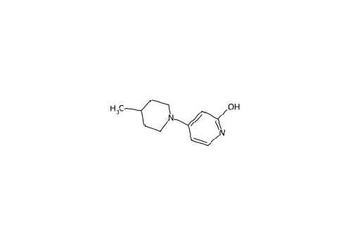 CC1CCN(c2ccnc(O)c2)CC1